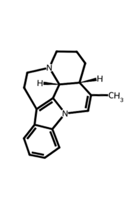 CC1=Cn2c3c(c4ccccc42)CCN2CCC[C@H]1[C@H]32